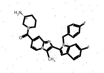 Cc1c(-c2cc3ccc(F)cc3n2Cc2ccc(F)cc2)nc2cc(C(=O)N3CCC[C@@H](N)C3)ccn12